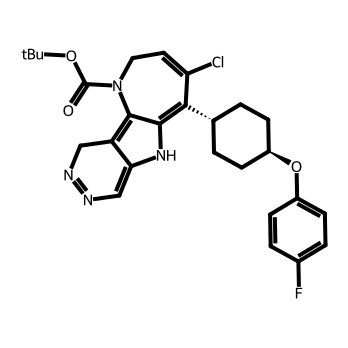 CC(C)(C)OC(=O)N1CC=C(Cl)C([C@H]2CC[C@H](Oc3ccc(F)cc3)CC2)=c2[nH]c3c(c21)CN=NC=3